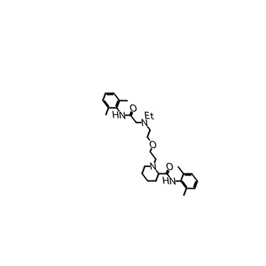 CCN(CCOCCN1CCCCC1C(=O)Nc1c(C)cccc1C)CC(=O)Nc1c(C)cccc1C